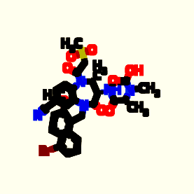 COc1ccc2c(Br)cccc2c1CN1C(=O)[C@@H](NC(=O)[C@H](C)N(C)C(=O)O)[C@H](C)N(C(=O)CS(C)(=O)=O)c2ccc(C#N)cc21